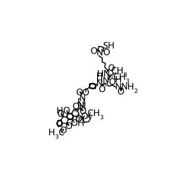 COc1cccc2c1C(=O)c1c(O)c3c(c(O)c1C2=O)C[C@@](O)(C(=O)N1CCN(C(=O)OCc2ccc(NC(=O)[C@H](CCCNC(N)=O)NC(=O)[C@@H](NC(=O)CCCCCN4C(=O)CC(S)C4=O)C(C)C)cc2)CC1)C[C@@H]3O[C@H]1CCC[C@H](C)O1